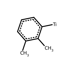 Cc1ccc[c]([Ti])c1C